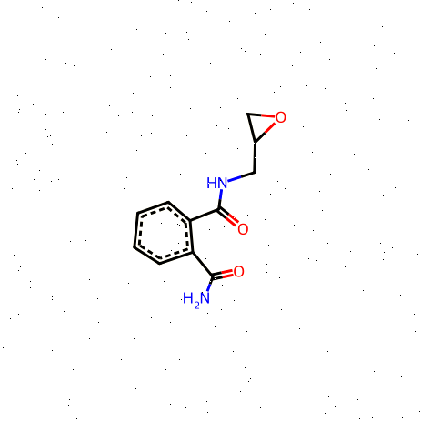 NC(=O)c1ccccc1C(=O)NCC1CO1